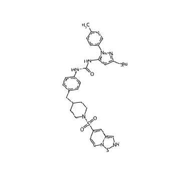 Cc1ccc(-n2nc(C(C)(C)C)cc2NC(=O)Nc2ccc(CC3CCN(S(=O)(=O)C4=CC5=CNSN5C=C4)CC3)cc2)cc1